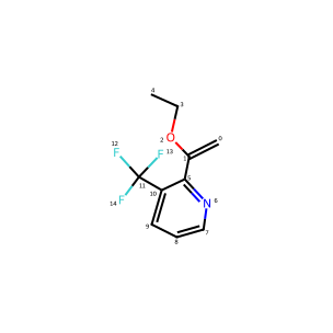 C=C(OCC)c1ncccc1C(F)(F)F